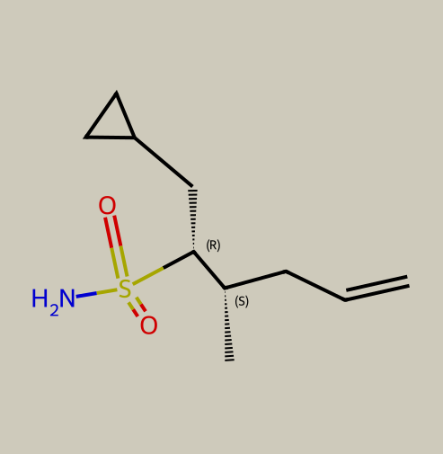 C=CC[C@H](C)[C@@H](CC1CC1)S(N)(=O)=O